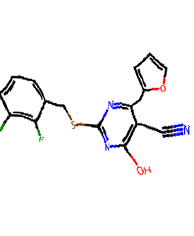 N#Cc1c(O)nc(SCc2cccc(F)c2F)nc1-c1ccco1